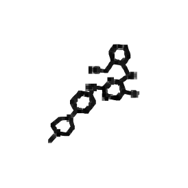 CN1CCN(c2ccc(Nc3ncc(Br)c(Nc4ccccc4CO)n3)cc2)CC1